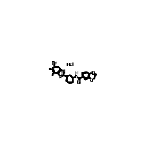 Cc1c(Br)cc2[nH]c(C3CCCC(NC(=O)c4ccc5c(c4)OCCO5)C3)nc2c1C.Cl